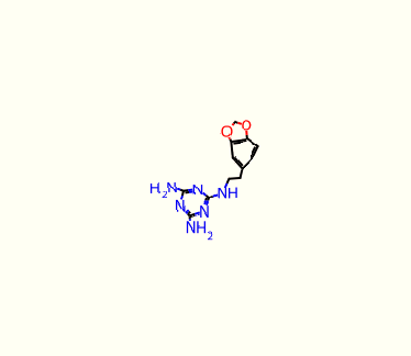 Nc1nc(N)nc(NCCc2ccc3c(c2)OCO3)n1